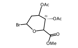 COC(=O)C1OC(Br)CC(OC(C)=O)[C@@H]1OC(C)=O